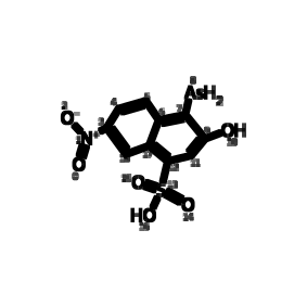 O=[N+]([O-])c1ccc2c([AsH2])c(O)cc(S(=O)(=O)O)c2c1